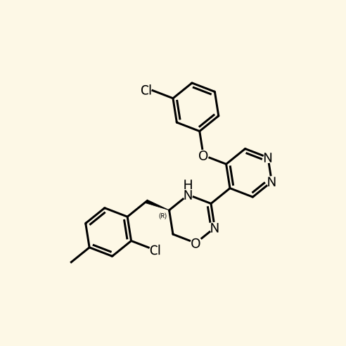 Cc1ccc(C[C@@H]2CON=C(c3cnncc3Oc3cccc(Cl)c3)N2)c(Cl)c1